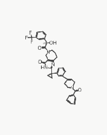 O=C(c1ccccc1)N1CC=C(c2cccc(C3(c4nc5c(c(=O)[nH]4)CN(C(=O)[C@H](O)c4cccc(C(F)(F)F)c4)CCC5)CC3)c2)CC1